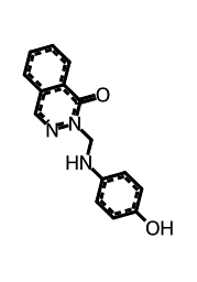 O=c1c2ccccc2cnn1CNc1ccc(O)cc1